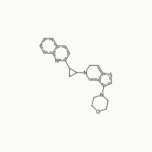 C1=c2scc(N3CCOCC3)c2=CN(C2CC2c2ccc3ccccc3n2)C1